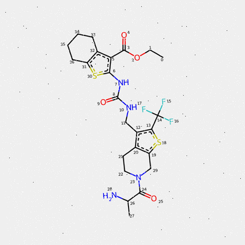 CCOC(=O)c1c(NC(=O)NCc2c(C(F)(F)F)sc3c2CCN(C(=O)C(C)N)C3)sc2c1CCCC2